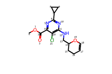 COC(=O)c1nc(C2CC2)nc(NCC2CCC=CO2)c1Cl